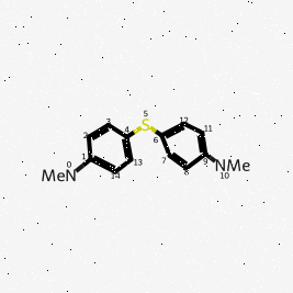 CNc1ccc(Sc2ccc(NC)cc2)cc1